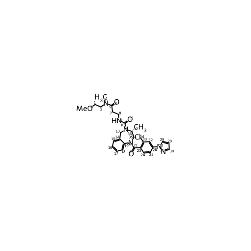 COCCN(C)C(=O)CCNC(=O)N1Cc2ccccc2N(C(=O)c2ccc(-n3cccn3)cc2Cl)C[C@H]1C